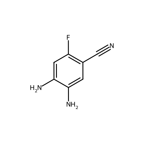 N#Cc1cc(N)c(N)cc1F